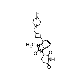 Cn1c(=O)n(C2CCC(=O)NC2=O)c2cccc(C3CC(CN4CCNCC4)C3)c21